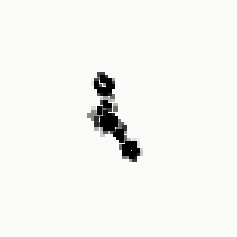 O=C(COc1ccc(F)c(F)c1)NC12CCC(NC(=O)COc3ccc(C(F)(F)F)nc3)(CC1)[C@@H](O)C2